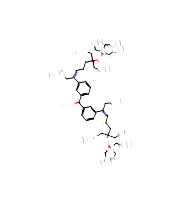 CC/C(=C/CCC(CC)(CC)O[Si](CC)(CC)CC)c1cccc(C(O)c2cccc(/C(=C\CCC(CC)(CC)O[Si](CC)(CC)CC)CC)c2)c1